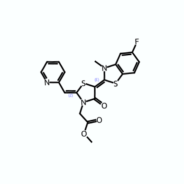 COC(=O)Cn1c(=O)/c(=C2\Sc3ccc(F)cc3N2C)s/c1=C\c1ccccn1